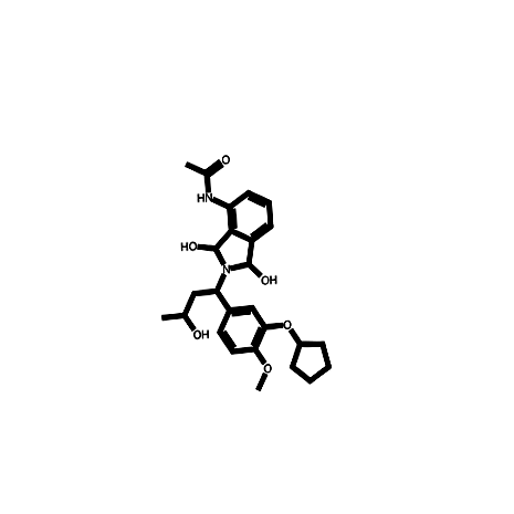 COc1ccc(C(CC(C)O)N2C(O)c3cccc(NC(C)=O)c3C2O)cc1OC1CCCC1